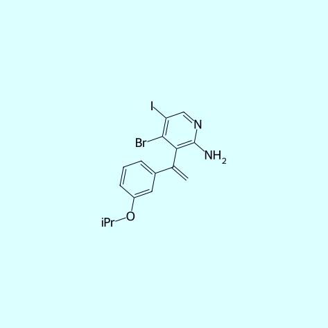 C=C(c1cccc(OC(C)C)c1)c1c(N)ncc(I)c1Br